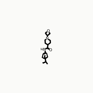 CC(C)C12CCC(NC(=O)C3CCN(C4COC4)CC3)(CC1)CC2